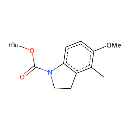 COc1ccc2c(c1C)CCN2C(=O)OC(C)(C)C